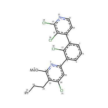 COc1nc(-c2cccc(-c3ccnc(Cl)c3Cl)c2Cl)cc(Cl)c1CC[C](C)C